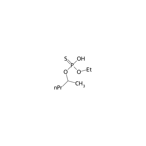 CCCC(C)OP(O)(=S)OCC